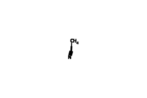 C.N#CI